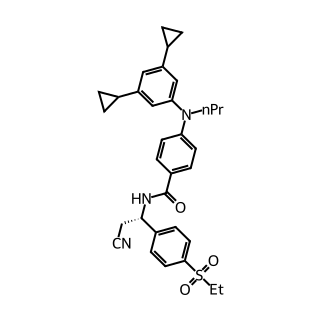 CCCN(c1ccc(C(=O)N[C@@H](CC#N)c2ccc(S(=O)(=O)CC)cc2)cc1)c1cc(C2CC2)cc(C2CC2)c1